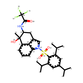 CC(C)c1cc(C(C)C)c(S(=O)(=O)n2cc3c4c(cccc42)C(C)(O)C(NC(=O)C(F)(F)F)C3)c(C(C)C)c1